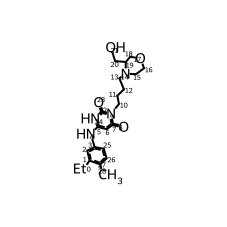 CCc1cc(Nc2cc(=O)n(CCCCN3CCOCC3CO)c(=O)[nH]2)ccc1C